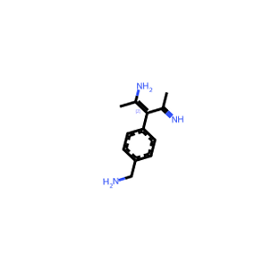 CC(=N)/C(=C(/C)N)c1ccc(CN)cc1